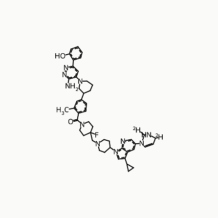 [2H]C1C=CN(c2cnc3c(c2)c(C2CC2)cn3C2CCN(CC3(F)CCN(C(=O)c4ccc(C5CCCN(c6cc(-c7ccccc7O)nnc6N)C5)cc4C)CC3)CC2)C([2H])N1